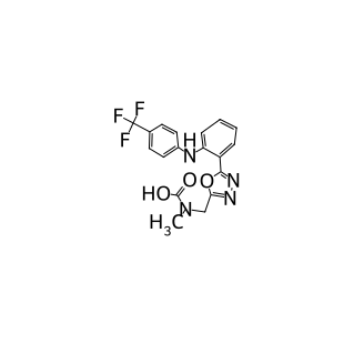 CN(Cc1nnc(-c2ccccc2Nc2ccc(C(F)(F)F)cc2)o1)C(=O)O